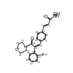 O=C(/C=C/c1ccc(/C=C(\C(=O)N2CCOCC2)c2ccccc2F)cc1)NO